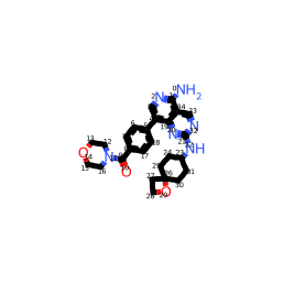 Nc1ncc(-c2ccc(C(=O)N3CCOCC3)cc2)c2nc(NC3CCC4(CCO4)CC3)ncc12